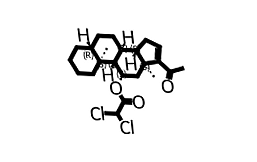 CC(=O)C1=CC[C@H]2[C@@H]3CC[C@H]4CCCC[C@]4(C)[C@H]3[C@@H](OC(=O)C(Cl)Cl)C[C@]12C